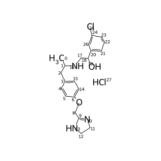 CC(Cc1ccc(OCC2=NCCN2)cc1)NCC(O)c1cccc(Cl)c1.Cl